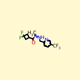 CN(NCc1ccc(C(F)(F)F)cn1)C(=O)C1CC(F)(F)C1